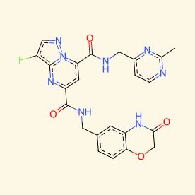 Cc1nccc(CNC(=O)c2cc(C(=O)NCc3ccc4c(c3)NC(=O)CO4)nc3c(F)cnn23)n1